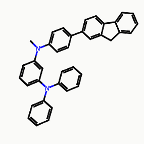 CN(c1ccc(-c2ccc3c(c2)Cc2ccccc2-3)cc1)c1cccc(N(c2ccccc2)c2ccccc2)c1